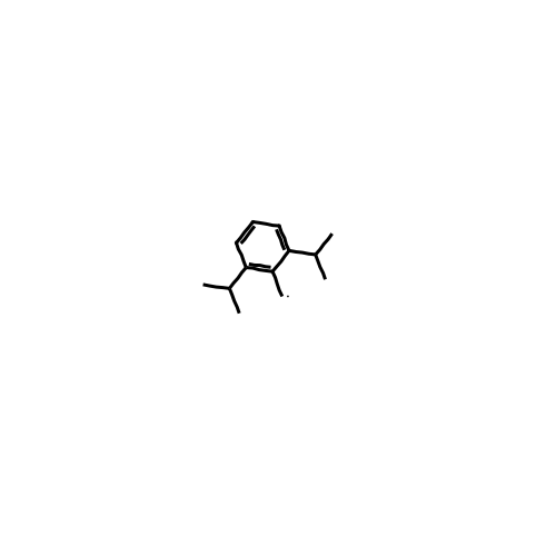 [CH2]c1c(C(C)C)cccc1C(C)C